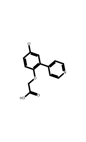 O=C(O)COc1ccc(Cl)cc1-c1ccncc1